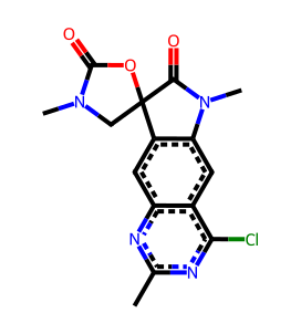 Cc1nc(Cl)c2cc3c(cc2n1)C1(CN(C)C(=O)O1)C(=O)N3C